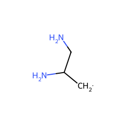 [CH2]C(N)CN